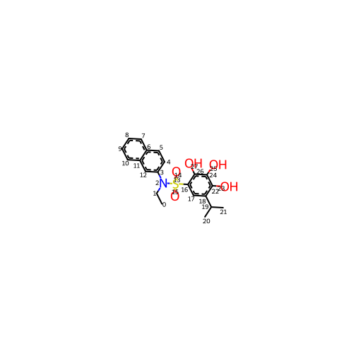 CCN(c1ccc2ccccc2c1)S(=O)(=O)c1cc(C(C)C)c(O)c(O)c1O